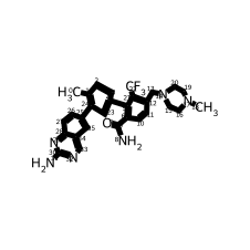 Cc1ccc(-c2c(C(N)=O)ccc(CN3CCN(C)CC3)c2C(F)(F)F)cc1-c1ccc2nc(N)ncc2c1